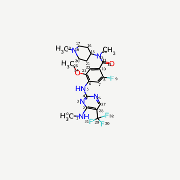 CNc1nc(Nc2cc(F)c(C(=O)N(C)C3CCN(C)CC3)cc2OC)ncc1C(F)(F)F